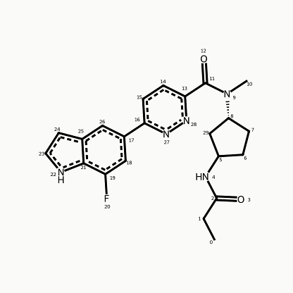 CCC(=O)NC1CC[C@@H](N(C)C(=O)c2ccc(-c3cc(F)c4[nH]ccc4c3)nn2)C1